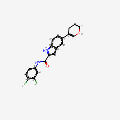 O=C(Nc1ccc(F)c(F)c1)c1cc2cc(C3=COCCC3)ccc2[nH]1